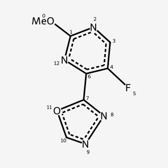 COc1ncc(F)c(-c2nnco2)n1